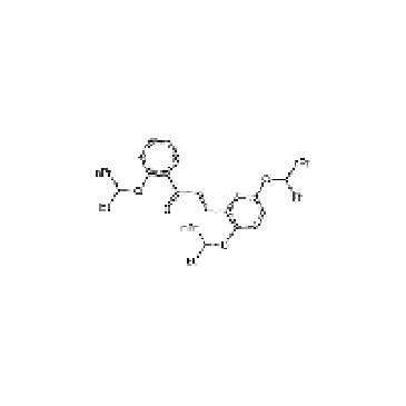 CCCC(CC)Oc1ccc(OC(CC)CCC)c(C=CC(=O)c2ccccc2OC(CC)CCC)c1